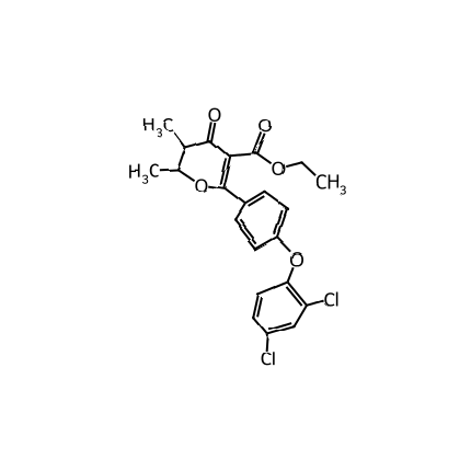 CCOC(=O)C1=C(c2ccc(Oc3ccc(Cl)cc3Cl)cc2)OC(C)C(C)C1=O